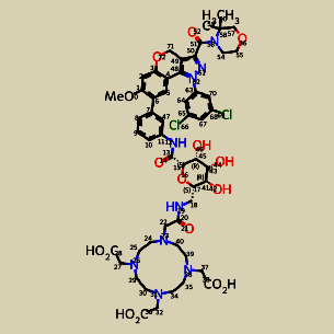 COc1cc2c(cc1-c1cccc(NC(=O)[C@H]3O[C@@H](CNC(=O)CN4CCN(CC(=O)O)CCN(CC(=O)O)CCN(CC(=O)O)CC4)[C@H](O)[C@@H](O)[C@H]3O)c1)-c1c(c(C(=O)N3CCOCC3(C)C)nn1-c1cc(Cl)cc(Cl)c1)CO2